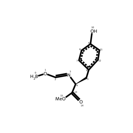 BOC=N[C@@H](Cc1ccc(O)cc1)C(=O)OC